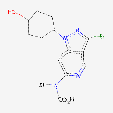 CCN(C(=O)O)c1cc2c(cn1)c(Br)nn2C1CCC(O)CC1